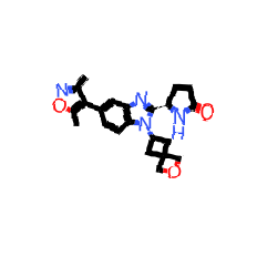 Cc1noc(C)c1-c1ccc2c(c1)nc([C@@H]1CCC(=O)N1)n2C1CC2(COC2)C1